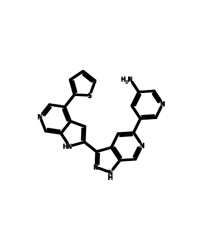 Nc1cncc(-c2cc3c(-c4cc5c(-c6cccs6)cncc5[nH]4)n[nH]c3cn2)c1